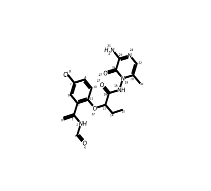 C=C(NC=O)c1cc(Cl)ccc1OC(CC)C(=O)Nn1c(C)cnc(N)c1=O